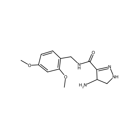 COc1ccc(CNC(=O)C2=NNCC2N)c(OC)c1